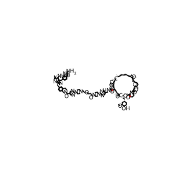 CO[C@H]1CC2CC[C@@H](C)C(O2)C(=O)C(=O)N2CCCC[C@H]2C(=O)O[C@H](CC[C@@H]2CC[C@@H](O)[C@H](OC)C2)CC(=O)[C@H](C)/C=C(\C)[C@@H](OC(=O)NCc2cnc(N3CCN(C(=O)CCOCCN4CCN(c5ncc(C(=O)N6CCc7cc(Cn8nc(-c9ccc%10oc(N)nc%10c9)c9c(N)ncnc98)ccc7C6)cn5)CC4)CC3)nc2)[C@@H](OC)C(=O)[C@H](C)C[C@H](C)/C=C/C=C/C=C/1C